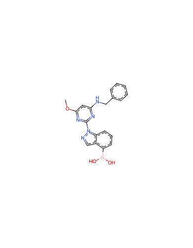 COc1cc(NCc2ccccc2)nc(-n2ncc3c(B(O)O)cccc32)n1